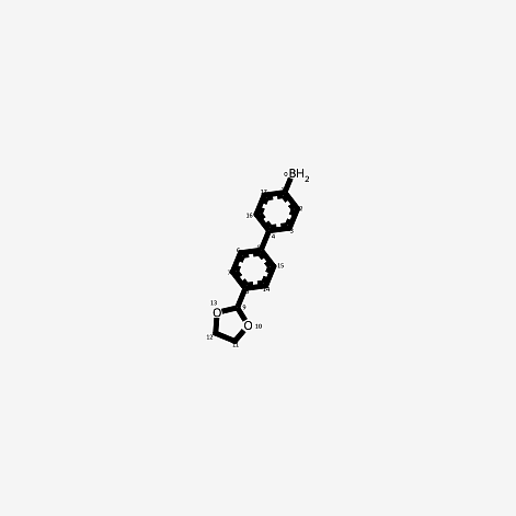 Bc1ccc(-c2ccc(C3OCCO3)cc2)cc1